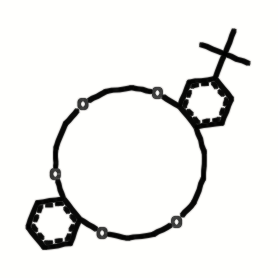 CC(C)(C)c1ccc2c(c1)OCCOCCOc1ccccc1OCCOCCC2